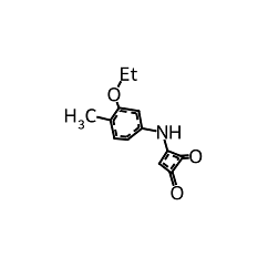 CCOc1cc(Nc2cc(=O)c2=O)ccc1C